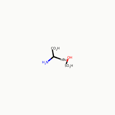 CCCCC(N)C(=O)O.O=S(=O)(O)O